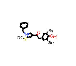 CC(C)(C)c1cc(CC(=O)c2cc(SC#N)n(Cc3ccccc3)c2)cc(C(C)(C)C)c1O